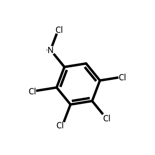 Cl[N]c1cc(Cl)c(Cl)c(Cl)c1Cl